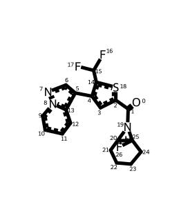 O=C(c1cc(-c2cnn3ccccc23)c(C(F)F)s1)N1[C@@H]2CCCCC21F